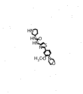 COc1cc(-c2nc(NC(=O)NC3CCCNC3)cs2)ccc1N1CCOCC1